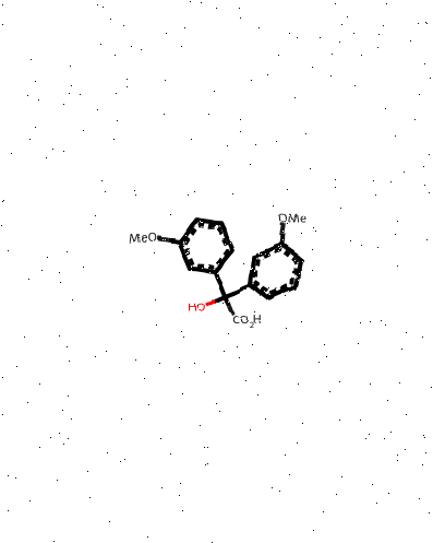 COc1cccc(C(O)(C(=O)O)c2cccc(OC)c2)c1